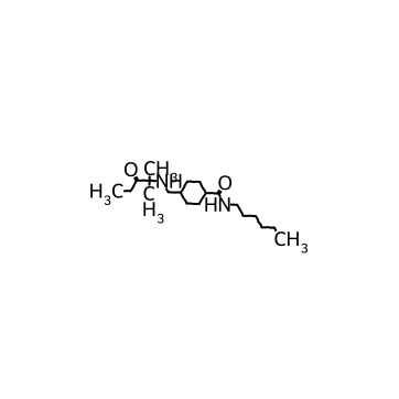 CCCCCCNC(=O)C1CCC(CNC(C)(C)C(=O)CC)CC1